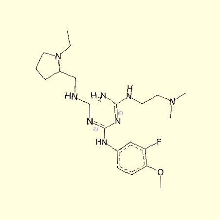 CCN1CCCC1CNC/N=C(\N=C(/N)NCCN(C)C)Nc1ccc(OC)c(F)c1